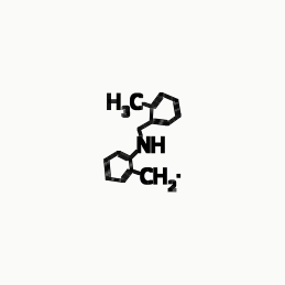 [CH2]c1ccccc1NCc1ccccc1C